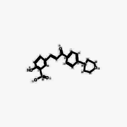 O=C(C=Cc1ccc(O)c([N+](=O)[O-])c1)c1ccc(N2CCOCC2)cc1